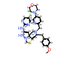 COc1ccc(CC2C=C3SCN4NC(Nc5ncc(F)cn5)=CC34CCN2Cc2ccc(N3CCOCC3)cn2)cc1